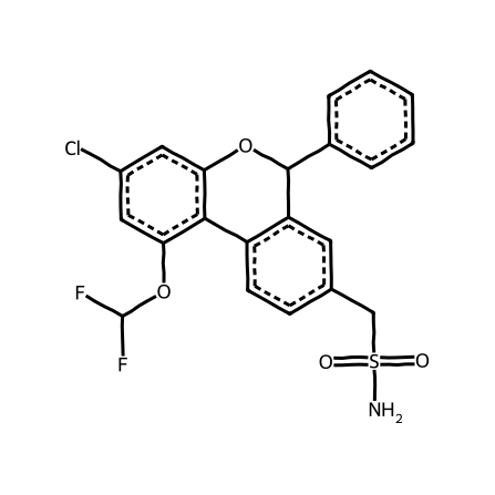 NS(=O)(=O)Cc1ccc2c(c1)C(c1ccccc1)Oc1cc(Cl)cc(OC(F)F)c1-2